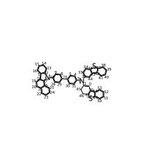 C1=C(N(c2ccc(-c3ccc(-n4c5ccccc5c5ccc6ccccc6c54)cc3)cc2)c2ccc3sc4ccccc4c3c2)CCc2sc3ccccc3c21